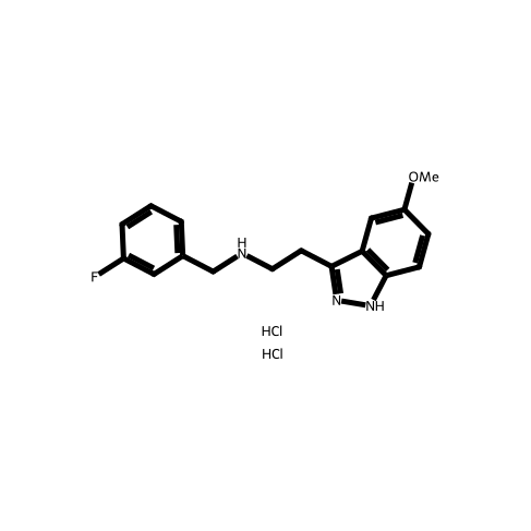 COc1ccc2[nH]nc(CCNCc3cccc(F)c3)c2c1.Cl.Cl